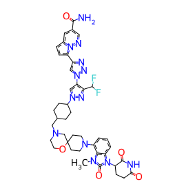 Cn1c(=O)n(C2CCC(=O)NC2=O)c2cccc(N3CCC4(CC3)CN(CC3CCC(n5cc(-n6cc(-c7ccc8cc(C(N)=O)cnn78)nn6)c(C(F)F)n5)CC3)CCO4)c21